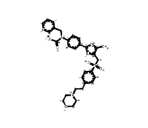 Cc1oc(-c2ccc(N(Cc3cccnc3)C(=O)C(F)(F)F)cc2)nc1CS(=O)(=O)c1ccc(CCN2CCOCC2)cc1